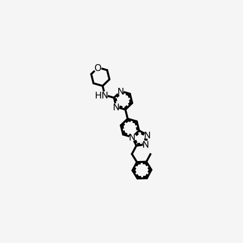 Cc1ccccc1Cc1nnc2cc(-c3ccnc(NC4CCOCC4)n3)ccn12